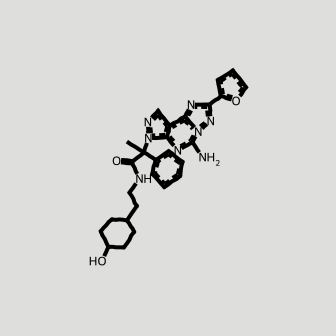 CC(C(=O)NCCC1CCC(O)CC1)(c1ccccc1)n1ncc2c1nc(N)n1nc(-c3ccco3)nc21